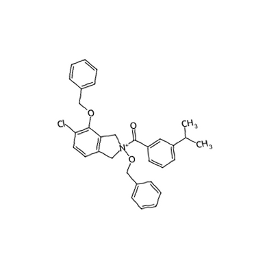 CC(C)c1cccc(C(=O)[N+]2(OCc3ccccc3)Cc3ccc(Cl)c(OCc4ccccc4)c3C2)c1